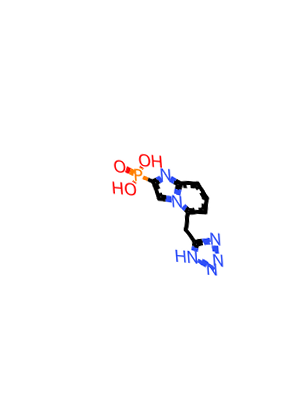 O=P(O)(O)c1cn2c(Cc3nnn[nH]3)cccc2n1